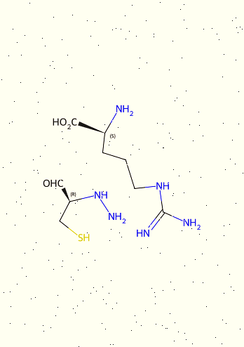 N=C(N)NCCC[C@H](N)C(=O)O.NN[C@H](C=O)CS